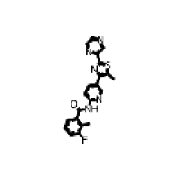 Cc1sc(-c2cnccn2)nc1-c1ccc(NC(=O)c2cccc(F)c2C)nc1